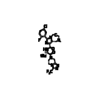 CN1CCCn2c(-c3cc(Cl)ccc3F)nc(C(=O)N[C@H](C(=O)N3CCn4c(nnc4C(F)(F)F)C3)C(C)(C)C)c2C1